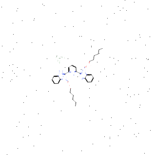 CCCCCCOCn1c(-c2cccc(-c3nc4ccccc4n3COCCCCCC)n2)nc2ccccc21.[Cl-].[Cl-].[Cl-].[Co+3]